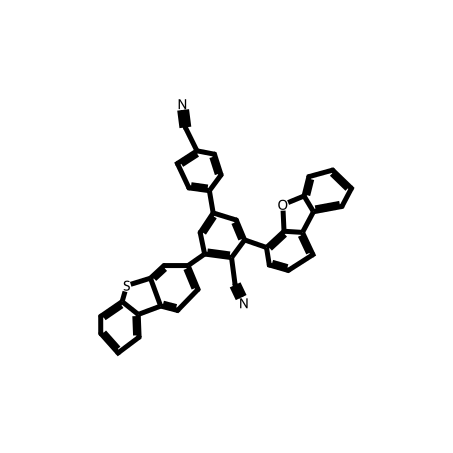 N#Cc1ccc(-c2cc(-c3ccc4c(c3)sc3ccccc34)c(C#N)c(-c3cccc4c3oc3ccccc34)c2)cc1